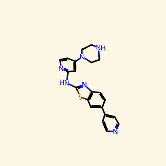 c1cc(-c2ccc3nc(Nc4cc(N5CCNCC5)ccn4)sc3c2)ccn1